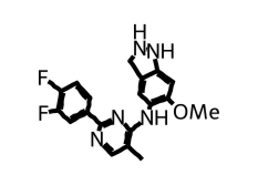 COc1cc2c(cc1Nc1nc(-c3ccc(F)c(F)c3)ncc1C)CNN2